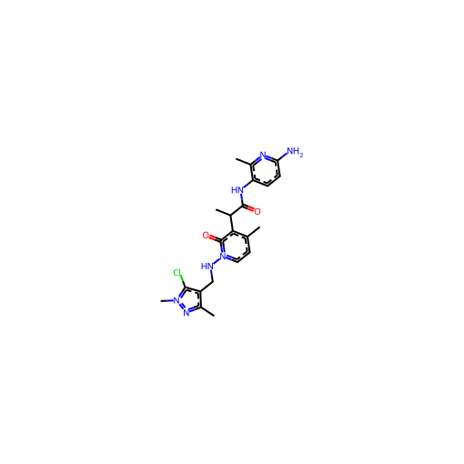 Cc1ccn(NCc2c(C)nn(C)c2Cl)c(=O)c1C(C)C(=O)Nc1ccc(N)nc1C